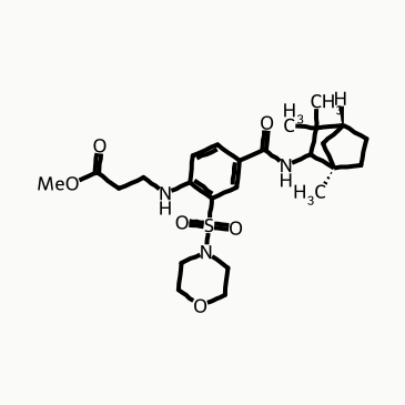 COC(=O)CCNc1ccc(C(=O)NC2C(C)(C)[C@@H]3CC[C@]2(C)C3)cc1S(=O)(=O)N1CCOCC1